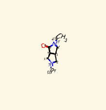 CC(C)N1CC2CN(C)C(=O)C2C1